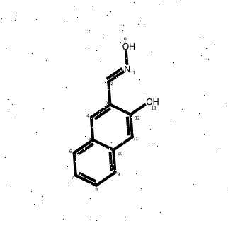 ON=Cc1cc2ccccc2cc1O